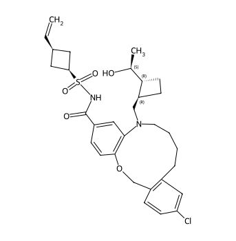 C=C[C@H]1C[C@@H](S(=O)(=O)NC(=O)c2ccc3c(c2)N(C[C@@H]2CC[C@H]2[C@H](C)O)CCCCc2cc(Cl)ccc2CO3)C1